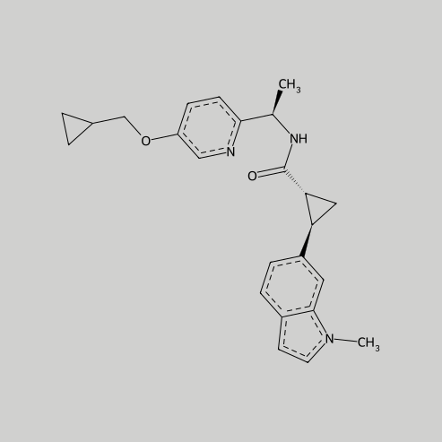 C[C@@H](NC(=O)[C@@H]1C[C@H]1c1ccc2ccn(C)c2c1)c1ccc(OCC2CC2)cn1